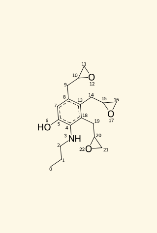 CCCNc1c(O)cc(CC2CO2)c(CC2CO2)c1CC1CO1